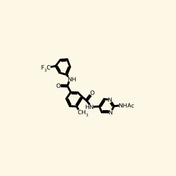 CC(=O)Nc1ncc(NC(=O)c2cc(C(=O)Nc3cccc(C(F)(F)F)c3)ccc2C)cn1